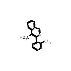 Cc1ccccc1-c1ncc2ccccc2c1C(=O)O